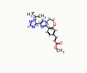 COC(=O)C=Cc1ccc2c(c1)OCCn1cc(-c3ncnn3C(C)C)nc1-2